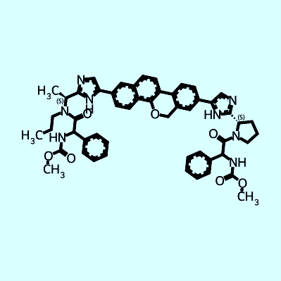 CCCN(C(=O)C(NC(=O)OC)c1ccccc1)[C@@H](C)c1ncc(-c2ccc3c4c(ccc3c2)-c2ccc(-c3cnc([C@@H]5CCCN5C(=O)C(NC(=O)OC)c5ccccc5)[nH]3)cc2CO4)[nH]1